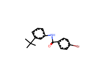 CC(C)(C)c1cccc(NC(=O)c2ccc(Br)cc2)c1